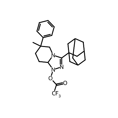 CC1(c2ccccc2)CCC2N(OC(=O)C(F)(F)F)N=C(C34CC5CC(CC(C5)C3)C4)N2C1